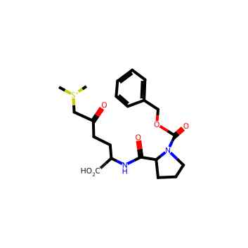 C[S+](C)CC(=O)CCC(NC(=O)C1CCCN1C(=O)OCc1ccccc1)C(=O)O